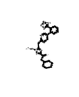 CCCCCn1nc(C(=O)CC2CCCCC2)nc1Cc1ccc(-c2ccccc2-c2nnn[nH]2)cn1